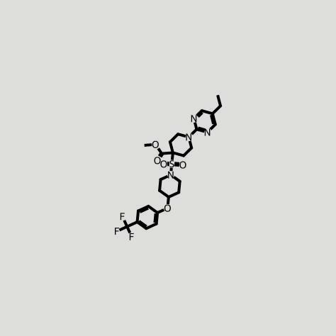 CCc1cnc(N2CCC(C(=O)OC)(S(=O)(=O)N3CCC(Oc4ccc(C(F)(F)F)cc4)CC3)CC2)nc1